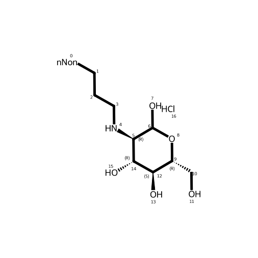 CCCCCCCCCCCCN[C@H]1C(O)O[C@H](CO)[C@@H](O)[C@@H]1O.Cl